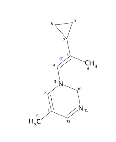 CC1=CN(/C=C(\C)C2CC2)CN=C1